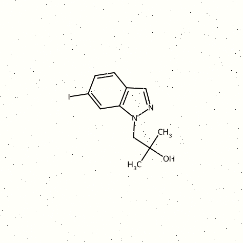 CC(C)(O)Cn1ncc2ccc(I)cc21